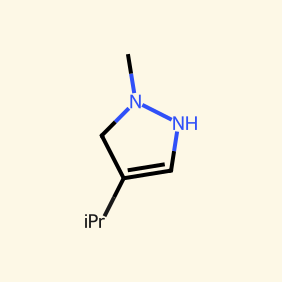 CC(C)C1=CNN(C)C1